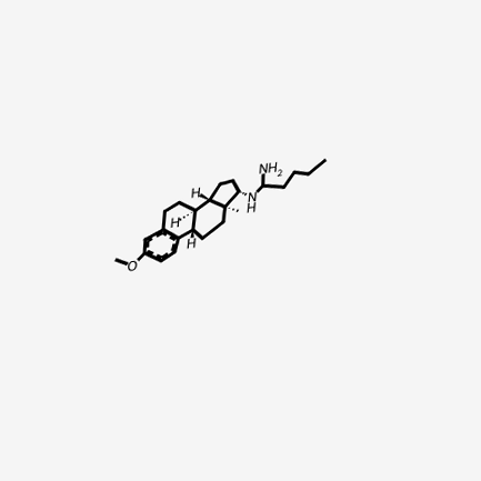 CCCCC(N)N[C@H]1CC[C@H]2[C@@H]3CCc4cc(OC)ccc4[C@H]3CC[C@]12C